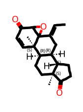 CC=C1C[C@@H]2[C@@H](CC[C@]3(C)C(=O)CC[C@@H]23)[C@@]2(C)C=CC(=O)C3OC132